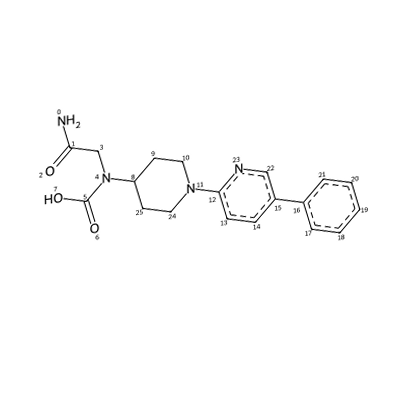 NC(=O)CN(C(=O)O)C1CCN(c2ccc(-c3ccccc3)cn2)CC1